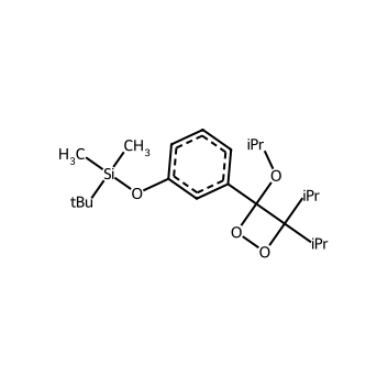 CC(C)OC1(c2cccc(O[Si](C)(C)C(C)(C)C)c2)OOC1(C(C)C)C(C)C